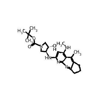 CNc1cc(N[C@H]2CN(C(=O)OC(C)(C)C)C[C@@H]2O)nc2nc3c(c(C)c12)CCC3